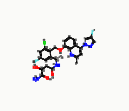 Cc1cc(-n2cc(F)cn2)c2cccc(OCc3c(Cl)cc(F)cc3[C@H](C)NC(=O)C[C@H](O)C(N)=O)c2n1